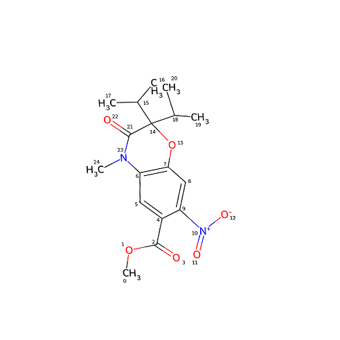 COC(=O)c1cc2c(cc1[N+](=O)[O-])OC(C(C)C)(C(C)C)C(=O)N2C